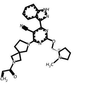 C=CC(=O)N1CC2(CCN(c3nc(OC[C@@H]4CCCN4C)nc(-c4n[nH]c5ccccc45)c3C#N)C2)C1